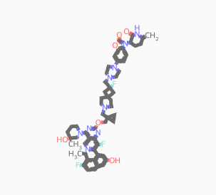 C=C1CCC(n2c(=O)oc3cc(N4CCN(CC5(F)CC6(CCN(CC7(COc8nc(N9CCC[C@@](C)(O)C9)c9cnc(-c%10cc(O)cc%11ccc(F)c(CC)c%10%11)c(F)c9n8)CC7)CC6)C5)CC4)ccc32)C(=O)N1